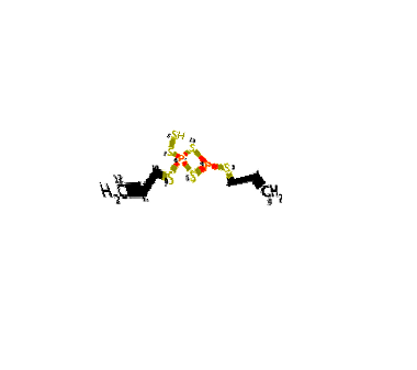 C=CCSP1S[P](SS)(SCC=C)S1